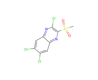 CS(=O)(=O)c1nc2cc(Cl)c(Cl)cc2nc1Cl